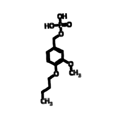 CCCCOc1ccc(COP(=O)(O)O)cc1OC